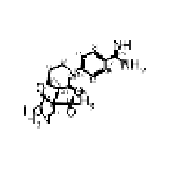 CC(=O)C(CN)(C(=O)O)C1CCCN(c2ccc(C(=N)N)cc2)C1=O